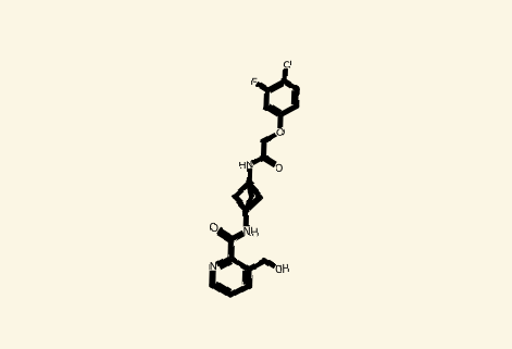 O=C(COc1ccc(Cl)c(F)c1)NC12CC(NC(=O)c3ncccc3CO)(C1)C2